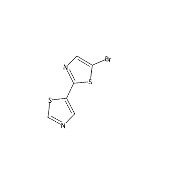 Brc1cnc(-c2cncs2)s1